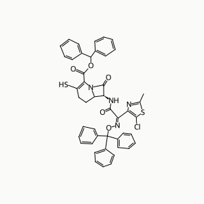 Cc1nc(/C(=N/OC(c2ccccc2)(c2ccccc2)c2ccccc2)C(=O)N[C@@H]2C(=O)N3C(C(=O)OC(c4ccccc4)c4ccccc4)=C(S)CCC23)c(Cl)s1